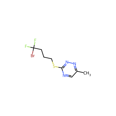 Cc1cnc(SCCCC(F)(F)Br)nn1